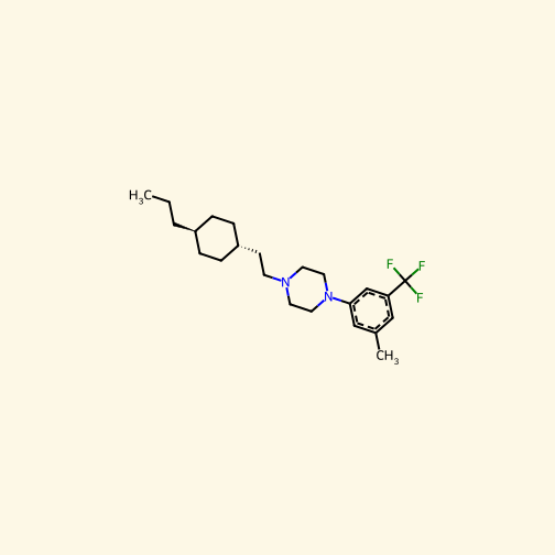 CCC[C@H]1CC[C@H](CCN2CCN(c3cc(C)cc(C(F)(F)F)c3)CC2)CC1